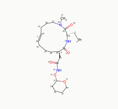 CC(C)C[C@@H]1NC(=O)[C@@H](CC(=O)NOC2CCCCO2)CCC/C=C/CCCN(C)C1=O